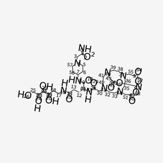 NC(=O)CN1CCC(NC(=O)[C@@H](CCC(=O)NCC[C@@H](O)[C@H](O)[C@H](O)CO)NC(=O)CN2CCN3CCN4CCN(CC2)CC(=O)ON(OC(=O)C3)OC(=O)C4)CC1